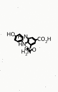 Nc1cc(C(=O)O)cc(S(N)(=O)=O)c1Nc1ccc(O)cc1